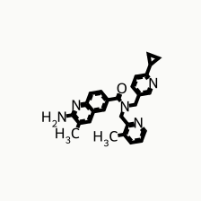 Cc1cc2cc(C(=O)N(Cc3ccc(C4CC4)nc3)Cc3ncccc3C)ccc2nc1N